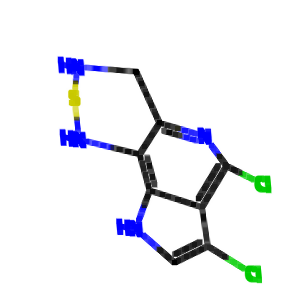 Clc1c[nH]c2c3c(nc(Cl)c12)CNSN3